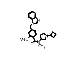 COc1cc(Cn2cnc3ccccc32)ccc1C(=O)N(C)C1CCN(C2CCC2)C1